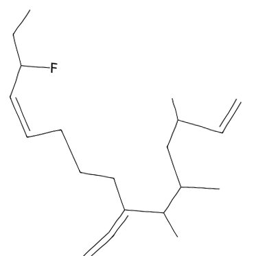 C=C=C(CCC/C=C\C(F)CC)C(C)C(C)CC(C)C=C